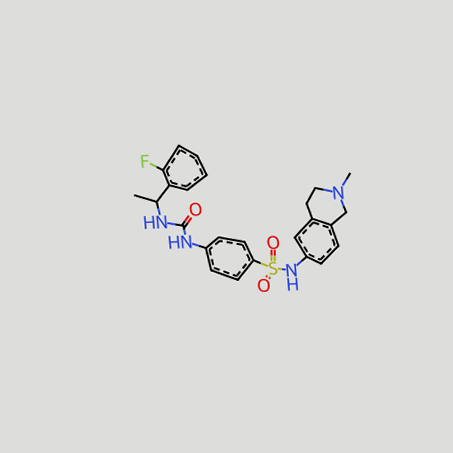 CC(NC(=O)Nc1ccc(S(=O)(=O)Nc2ccc3c(c2)CCN(C)C3)cc1)c1ccccc1F